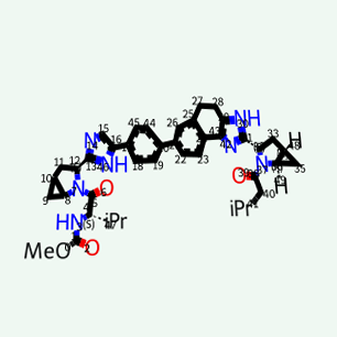 COC(=O)N[C@H](C(=O)N1C2CC2C[C@H]1c1ncc(-c2ccc(-c3ccc4c(c3)CCc3[nH]c([C@@H]5C[C@H]6C[C@H]6N5C(=O)CC(C)C)nc3-4)cc2)[nH]1)C(C)C